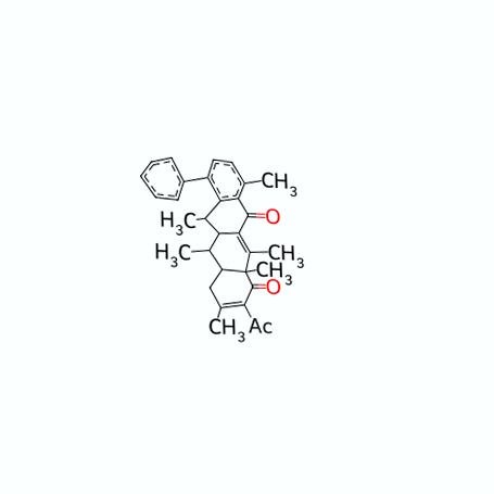 CC(=O)C1=C(C)CC2C(C)C3C(=C(C)C2(C)C1=O)C(=O)c1c(C)ccc(-c2ccccc2)c1C3C